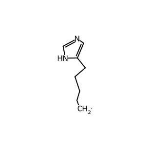 [CH2]CCCCc1cnc[nH]1